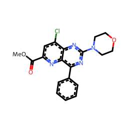 COC(=O)c1cc(Cl)c2nc(N3CCOCC3)nc(-c3ccccc3)c2n1